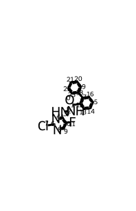 O=C(NNc1nc(Cl)ncc1F)c1ccccc1-c1ccccc1